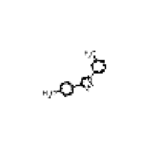 Cc1ccc(-c2cn(-c3cccc(C(F)(F)F)c3)nn2)cc1